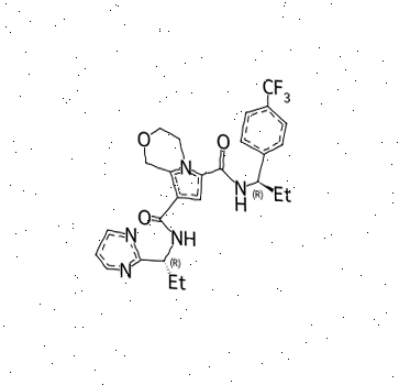 CC[C@@H](NC(=O)c1cc(C(=O)N[C@H](CC)c2ncccn2)c2n1CCOC2)c1ccc(C(F)(F)F)cc1